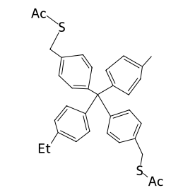 CCc1ccc(C(c2ccc(C)cc2)(c2ccc(CSC(C)=O)cc2)c2ccc(CSC(C)=O)cc2)cc1